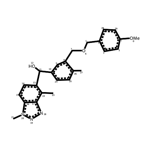 COc1ccc(COCc2cc(C(O)c3ccc4c(nnn4C)c3C)ccc2C)cc1